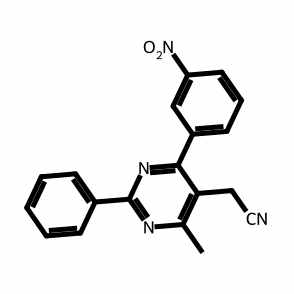 Cc1nc(-c2ccccc2)nc(-c2cccc([N+](=O)[O-])c2)c1CC#N